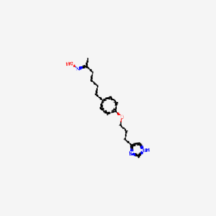 CC(CCCCc1ccc(OCCCc2c[nH]cn2)cc1)=NO